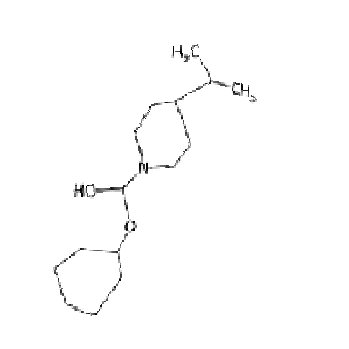 CC(C)C1CCN(C(O)OC2CCCCC2)CC1